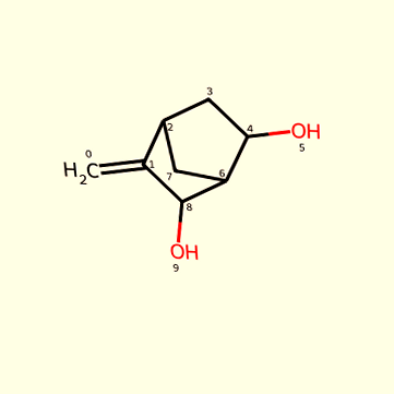 C=C1C2CC(O)C(C2)C1O